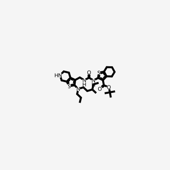 CCCN(CCC(C)CC)c1sc2c(c1CNC(=O)Nc1sc3c(c1C(=O)OC(C)(C)C)CCCC3)CCNC2